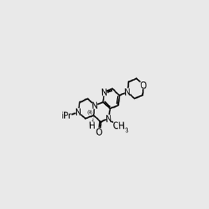 CC(C)N1CCN2c3ncc(N4CCOCC4)cc3N(C)C(=O)[C@H]2C1